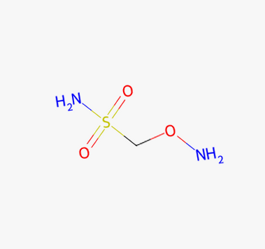 NOCS(N)(=O)=O